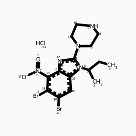 CCC(C)n1c(N2CCNCC2)nc2c([N+](=O)[O-])c(Br)c(Br)cc21.Cl